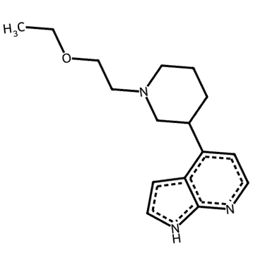 CCOCCN1CCCC(c2ccnc3[nH]ccc23)C1